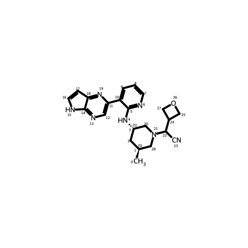 C[C@H]1C[C@H](Nc2ncccc2-c2cnc3[nH]ccc3n2)CN(C(C#N)C2COC2)C1